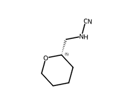 N#CNC[C@@H]1CCCCO1